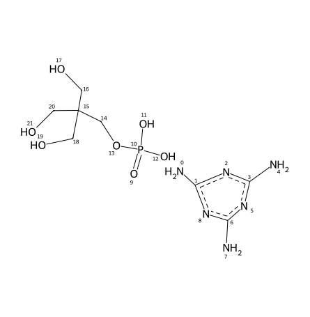 Nc1nc(N)nc(N)n1.O=P(O)(O)OCC(CO)(CO)CO